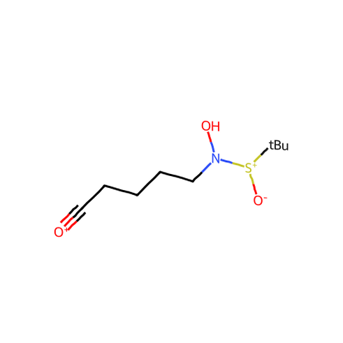 CC(C)(C)[S+]([O-])N(O)CCCCC#[O+]